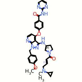 COc1ccc(Cn2nc(N[C@@H]3CCN(C(=O)/C=C/CN(C)C4CC4)C3)c3c(Oc4ccc(C(=O)Nc5ncccn5)cc4)ccnc32)cc1